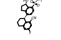 N#Cc1cc(F)cc2c1[C@H](c1ccc(S(=O)(=O)C(F)(F)F)c3c1CC[C@H]3O)CCC2